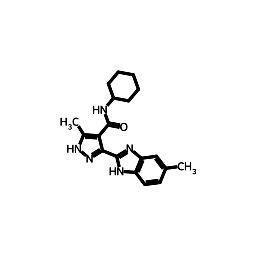 Cc1ccc2[nH]c(-c3n[nH]c(C)c3C(=O)NC3CCCCC3)nc2c1